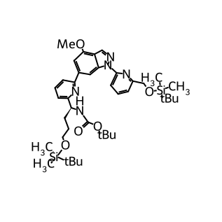 COc1cc(-c2cccc([C@H](CCCO[Si](C)(C)C(C)(C)C)NC(=O)OC(C)(C)C)n2)cc2c1cnn2-c1cccc(CO[Si](C)(C)C(C)(C)C)n1